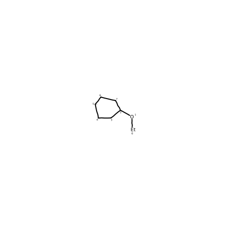 CCOC1CC[CH]CC1